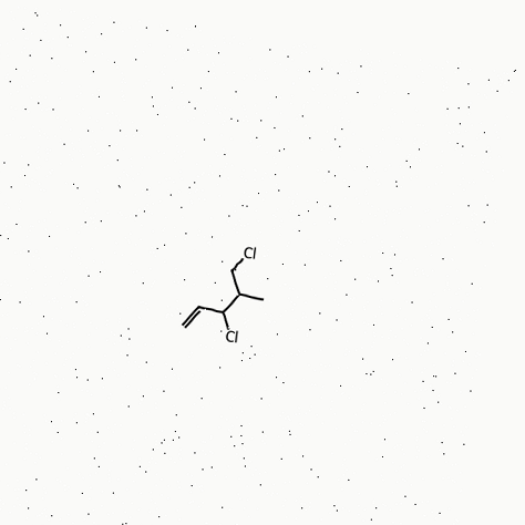 C=CC(Cl)C(C)CCl